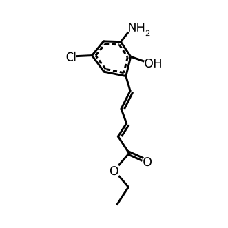 CCOC(=O)C=CC=Cc1cc(Cl)cc(N)c1O